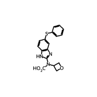 O=C(O)N(c1nc2cc(Sc3ccccc3)ccc2[nH]1)C1COC1